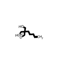 C=CCCCC(CO)(CO)CO